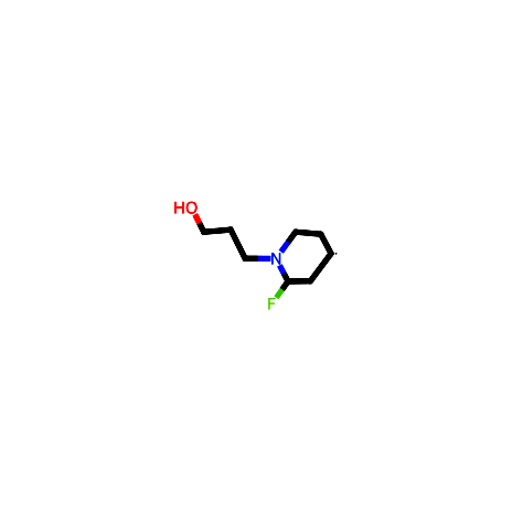 OCCCN1CC[CH]CC1F